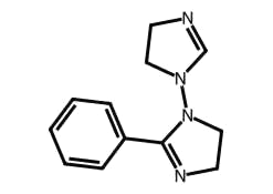 C1=NCCN1N1CCN=C1c1ccccc1